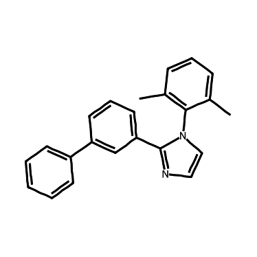 Cc1cccc(C)c1-n1ccnc1-c1cccc(-c2ccccc2)c1